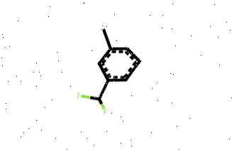 [CH2]c1cccc(C(F)F)c1